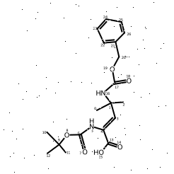 CC(C)(/C=C(\NC(=O)OC(C)(C)C)C(=O)O)NC(=O)OCc1ccccc1